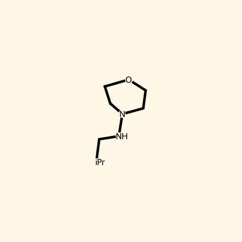 CC(C)CNN1CCOCC1